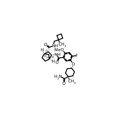 COc1cc(F)c(O[C@H]2CC[C@@](C)(C(N)=O)CC2)cc1C(=O)N[C@@H]1[C@H]2CC[C@H](C2)[C@@H]1C(=O)NCC1(C)CCC1